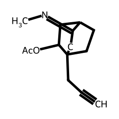 C#CCC12CCC(CC1OC(C)=O)/C(=N/C)C2